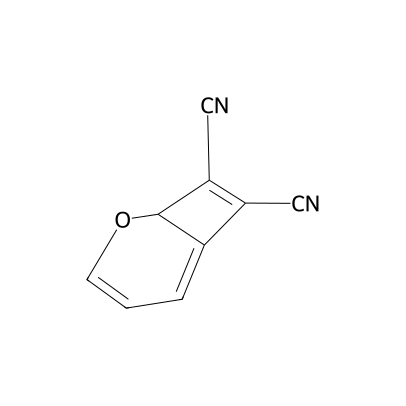 N#CC1=C(C#N)C2OC=CC=C12